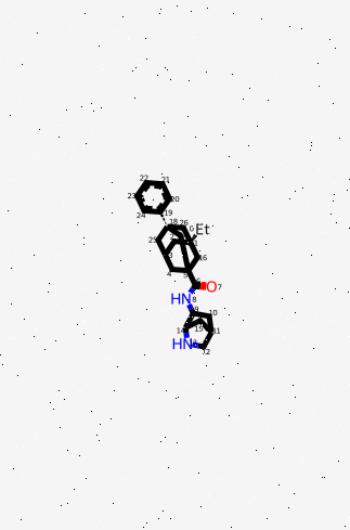 CC[C@]12CC3CC(C(=O)NC4CC5CNC4C5)(C1)C[C@@](c1ccccc1)(C3)C2